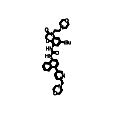 CC(C)(C)c1cc(NC(=O)Nc2ccc(-c3ccc(CN4CCOCC4)nc3)c3ccccc23)c2c(c1)N(CCN1CCOCC1)C(=O)CO2